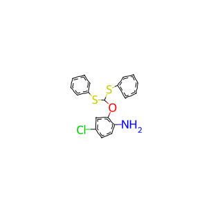 Nc1ccc(Cl)cc1OC(Sc1ccccc1)Sc1ccccc1